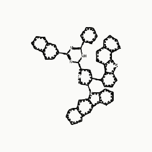 c1ccc(C2=NC(c3ccc4ccccc4c3)=NC(c3ccc(-n4c5ccccc5c5cc6ccccc6cc54)c(-c4cccc5sc6c7ccccc7ccc6c45)c3)N2)cc1